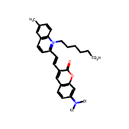 CCN(CC)c1ccc2cc(/C=C/c3ccc4cc(C)ccc4[n+]3CCCCCC(=O)O)c(=O)oc2c1